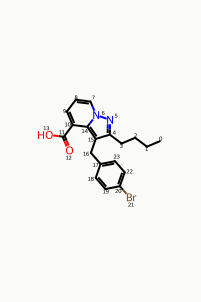 CCCCc1nn2cccc(C(=O)O)c2c1Cc1ccc(Br)cc1